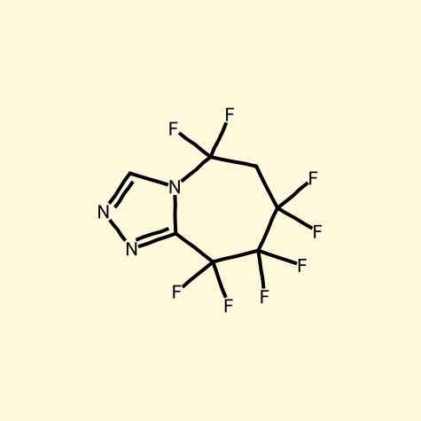 FC1(F)CC(F)(F)C(F)(F)C(F)(F)c2nncn21